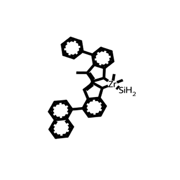 CC1=Cc2c(-c3cccc4ccccc34)cccc2[CH]1[Zr]([CH3])([CH3])(=[SiH2])[CH]1C(C)=C(C)c2c(-c3ccccc3)cccc21